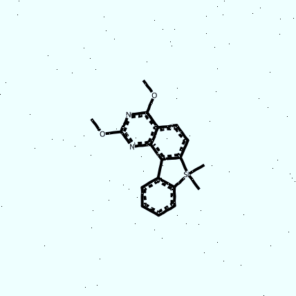 COc1nc(OC)c2ccc3c(c2n1)-c1ccccc1[Si]3(C)C